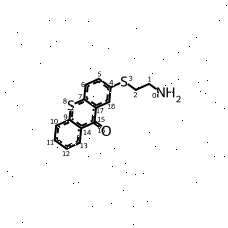 NCCSc1ccc2sc3ccccc3c(=O)c2c1